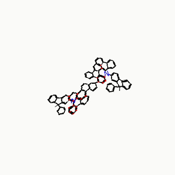 CC1(c2ccccc2)c2ccccc2-c2ccc(N(c3ccc4c(ccc5cc(-c6ccc(N(c7ccc8c(c7)C(C)(c7ccccc7)c7ccccc7-8)c7cc8ccccc8c8ccccc78)c(-c7ccccc7-c7ccccc7-c7ccccc7)c6)ccc54)c3)c3ccccc3-c3ccccc3-c3ccccc3-c3ccccc3)cc21